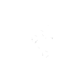 CC(C)(C)OC(=O)N1CC(O)(CN(Cc2ccccc2)Cc2ccccc2)C[C@H]1CN